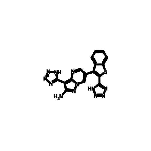 Nc1nn2cc(-c3c(-c4nnn[nH]4)sc4ccccc34)cnc2c1-c1nnn[nH]1